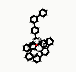 C1=CC2c3ccccc3N(C3N=C(c4ccccc4)N=C(c4ccc(-c5cccc(-c6ccccc6)c5)cc4)N3)C2c2c1c1ccccc1n2-c1c(-c2ccccc2)cccc1-c1ccccc1